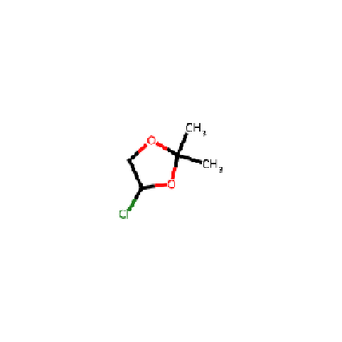 CC1(C)OCC(Cl)O1